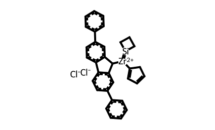 C1=CC[C]([Zr+2]([CH]2c3cc(-c4ccccc4)ccc3-c3ccc(-c4ccccc4)cc32)=[Si]2CCC2)=C1.[Cl-].[Cl-]